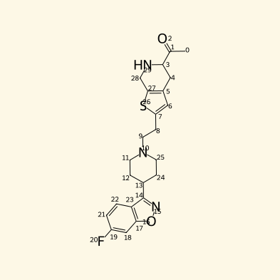 CC(=O)C1Cc2cc(CCN3CCC(c4noc5cc(F)ccc45)CC3)sc2CN1